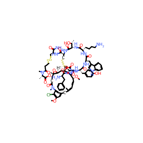 COc1cc2cc(c1Cl)N(C)C(=O)C[C@H](OC(=O)[C@H](C)N(C)C(=O)CCSSC[C@H](NC(=O)[C@@H]1CSSC[C@H](NC(=O)[C@H](N)Cc3ccccc3)C(=O)N[C@@H](Cc3ccc(O)cc3)C(=O)N[C@H](Cc3c[nH]c4ccccc34)C(=O)N[C@@H](CCCCN)C(=O)N[C@@H]([C@@H](C)O)C(=O)N1)C(N)=O)[C@]1(C)O[C@H]1[C@H](C)[C@@H]1CC(NC(=O)O1)[C@H](OC)/C=C/C=C(\C)C2